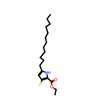 CCCCCCCCCCCCc1cc(F)c(C(=O)OCC)[nH]1